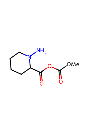 COC(=O)OC(=O)C1CCCCN1N